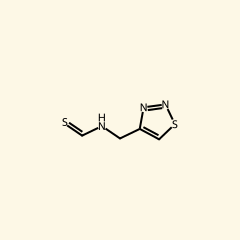 S=CNCc1csnn1